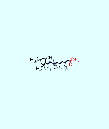 CC1=C(/C=C/C(C)=C/C=C/C(C)=C/C(=O)O)C(C)(C)CC(C)C1